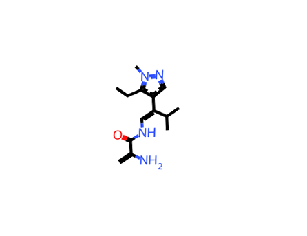 C=C(N)C(=O)N/C=C(/c1cnn(C)c1CC)C(C)C